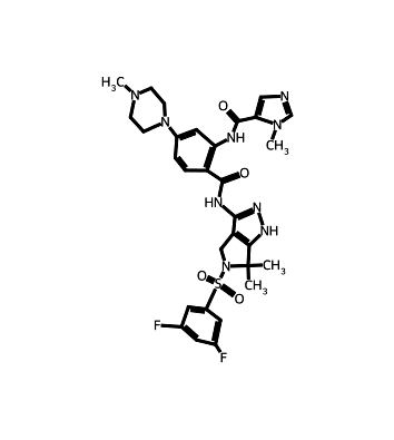 CN1CCN(c2ccc(C(=O)Nc3n[nH]c4c3CN(S(=O)(=O)c3cc(F)cc(F)c3)C4(C)C)c(NC(=O)c3cncn3C)c2)CC1